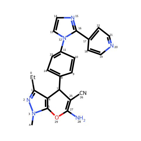 CCc1nn(C)c2c1C(c1ccc(-n3ccnc3-c3ccncc3)cc1)C(C#N)=C(N)O2